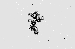 O=S(=O)(Nc1ccncn1)c1ccc(Oc2ccc(Cl)cc2C2CCNCC2)c(Cl)c1